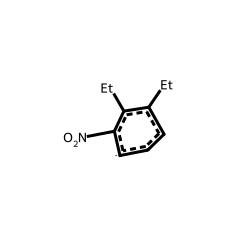 CCc1cc[c]c([N+](=O)[O-])c1CC